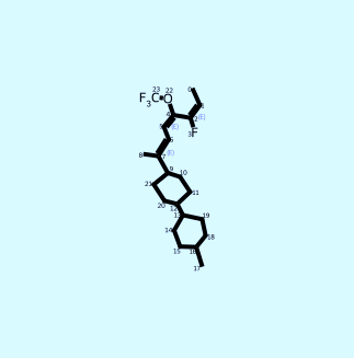 C\C=C(F)/C(=C\C=C(/C)C1CCC(C2CCC(C)CC2)CC1)OC(F)(F)F